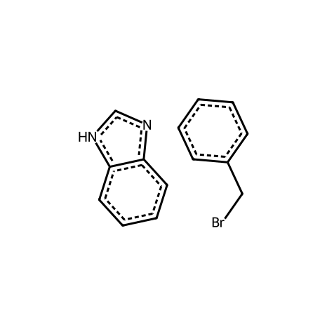 BrCc1ccccc1.c1ccc2[nH]cnc2c1